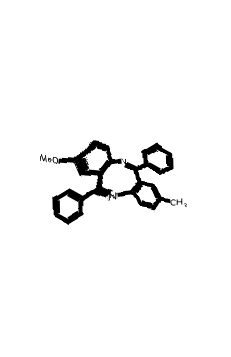 COc1ccc2c(c1)/C(c1ccccc1)=N\c1ccc(C)cc1/C(c1ccccc1)=N\2